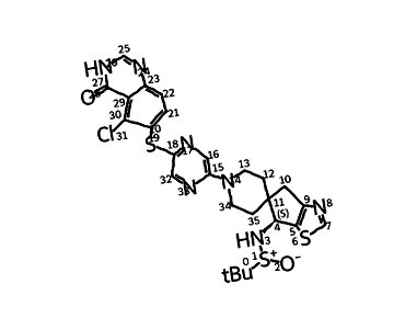 CC(C)(C)[S+]([O-])N[C@@H]1c2scnc2CC12CCN(c1cnc(Sc3ccc4nc[nH]c(=O)c4c3Cl)cn1)CC2